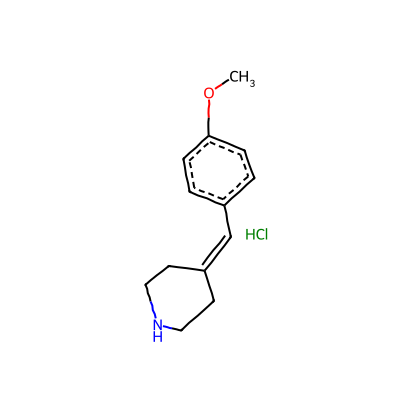 COc1ccc(C=C2CCNCC2)cc1.Cl